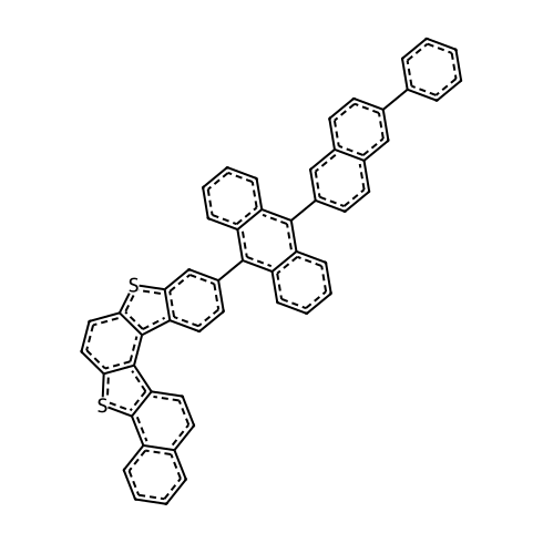 c1ccc(-c2ccc3cc(-c4c5ccccc5c(-c5ccc6c(c5)sc5ccc7sc8c9ccccc9ccc8c7c56)c5ccccc45)ccc3c2)cc1